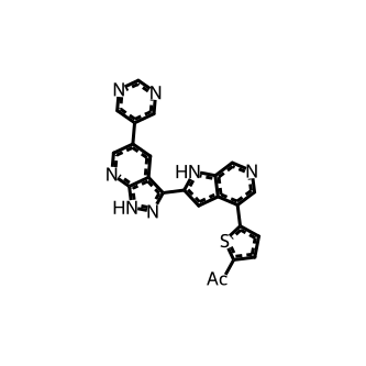 CC(=O)c1ccc(-c2cncc3[nH]c(-c4n[nH]c5ncc(-c6cncnc6)cc45)cc23)s1